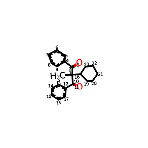 CC(C(=O)c1ccccc1)(C(=O)c1ccccc1)C1CCCCC1